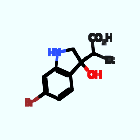 CCC(C(=O)O)C1(O)CNc2cc(Br)ccc21